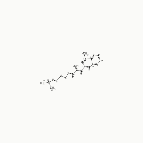 Cc1nc(NC(=N)NCCCCCN(C)C)nc2ccccc12